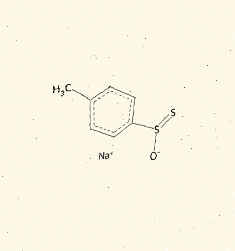 Cc1ccc(S([O-])=S)cc1.[Na+]